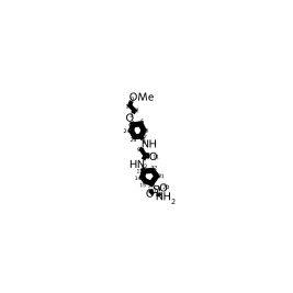 COCCOc1ccc(NCC(=O)Nc2ccc(S(N)(=O)=O)cc2)cc1